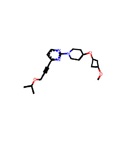 COC1CC(OC2CCN(c3nccc(C#CCOC(C)C)n3)CC2)C1